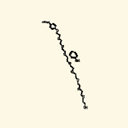 CCCCCCCCCc1ccc(OCCOCCOCCOCCOCCOCCOCCOCCOCCO)cc1.Oc1ccccc1